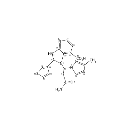 Cc1cn(C(CC(N)=O)N2c3c(C(=O)O)ccnc3NC2c2ccsc2)cn1